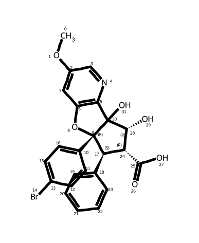 COc1cnc2c(c1)O[C@@]1(c3ccc(Br)cc3)[C@H](c3ccccc3)[C@@H](C(=O)O)[C@@H](O)C21O